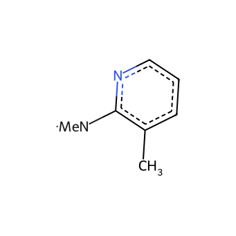 C[N]c1ncccc1C